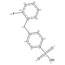 O=S(=O)(O)c1ccc(Cc2ccccc2F)cc1